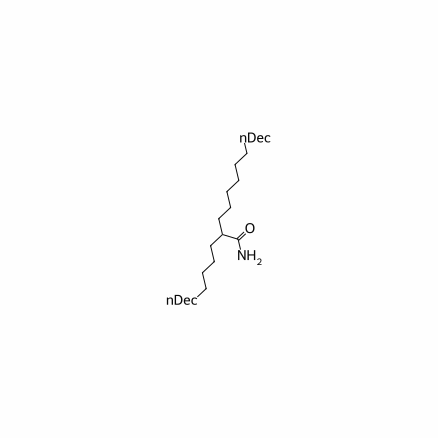 CCCCCCCCCCCCCCCCC(CCCCCCCCCCCCCC)C(N)=O